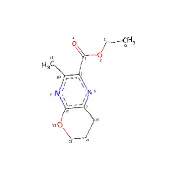 CCOC(=O)c1nc2c(nc1C)OCCC2